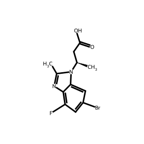 Cc1nc2c(F)cc(Br)cc2n1[C@H](C)CC(=O)O